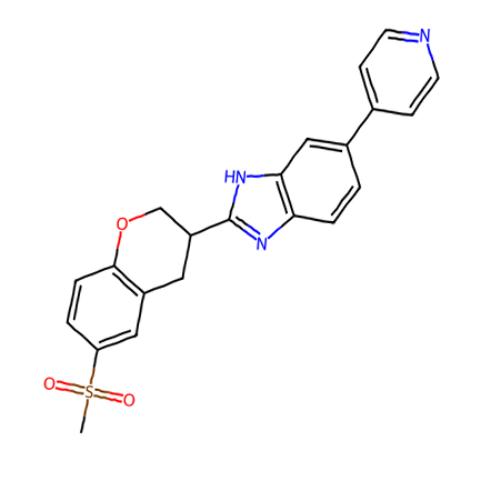 CS(=O)(=O)c1ccc2c(c1)CC(c1nc3ccc(-c4ccncc4)cc3[nH]1)CO2